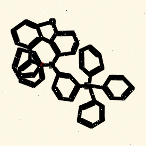 c1ccc(-c2cccc3oc4cccc(N(c5ccccc5)c5cccc([Si](c6ccccc6)(c6ccccc6)c6ccccc6)c5)c4c23)cc1